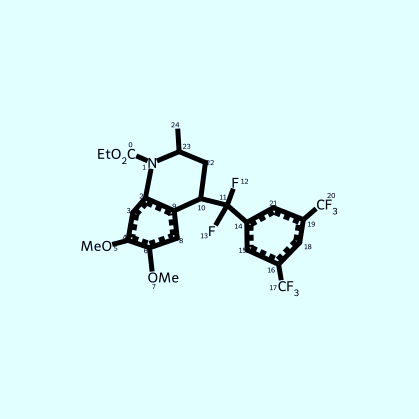 CCOC(=O)N1c2cc(OC)c(OC)cc2C(C(F)(F)c2cc(C(F)(F)F)cc(C(F)(F)F)c2)CC1C